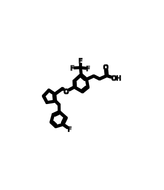 O=C(O)CCc1ccc(OCC2=C(Cc3cccc(F)c3)CCC2)cc1C(F)(F)F